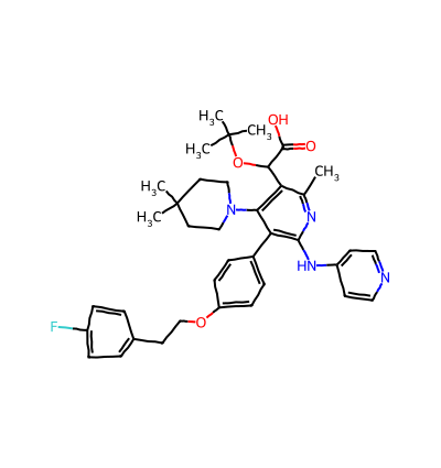 Cc1nc(Nc2ccncc2)c(-c2ccc(OCCc3ccc(F)cc3)cc2)c(N2CCC(C)(C)CC2)c1C(OC(C)(C)C)C(=O)O